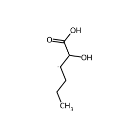 CCC[CH]C(O)C(=O)O